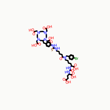 O=C(O)CCC(NC(=O)NC(CCCCN(Cc1ccc(Br)cc1)C(=O)CCCCNC(=S)Nc1ccc(CC2CN(CC(=O)O)CCN(CC(=O)O)CCN(CC(=O)O)CCN2CC(=O)O)cc1)C(=O)O)C(=O)O